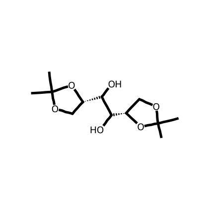 CC1(C)OC[C@@H](C(O)C(O)[C@@H]2COC(C)(C)O2)O1